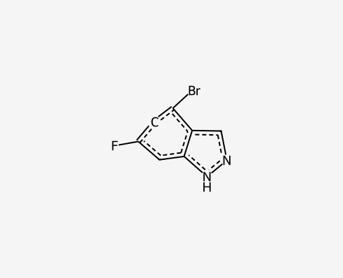 Fc1cc(Br)c2cn[nH]c2c1